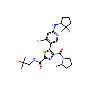 CC1CCCN1C(=O)c1nc(C(=O)NCC(C)(C)O)sc1-c1cnc(N[C@H]2CCCC2(F)F)cc1C(F)(F)F